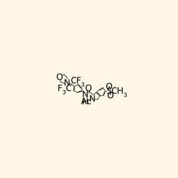 CC(=O)N1Cc2cc(S(C)(=O)=O)ccc2C1C(=O)Nc1ccc(C(N2CCOCC2)(C(F)(F)F)C(F)(F)F)cc1